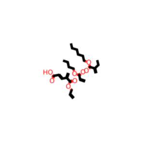 C=C(CC)C(=O)OCCCCCC.C=CC(=O)OCCCC.C=CCOC(=O)C(=C)C=CC(=O)O